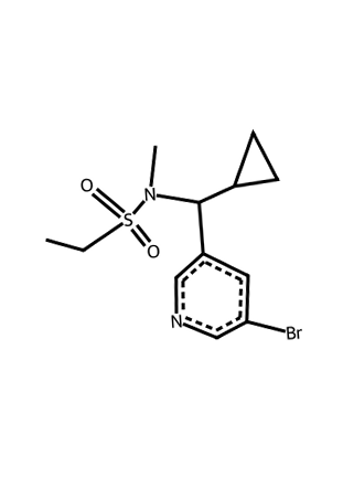 CCS(=O)(=O)N(C)C(c1cncc(Br)c1)C1CC1